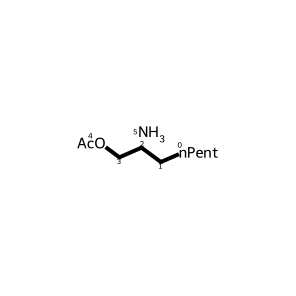 CCCCCCCCOC(C)=O.N